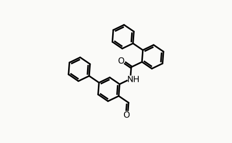 O=Cc1ccc(-c2ccccc2)cc1NC(=O)c1ccccc1-c1ccccc1